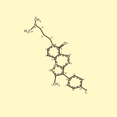 Cc1nn2c(nnc3c(=O)n(CCCN(C)C)ccc32)c1-c1ccc(F)cc1